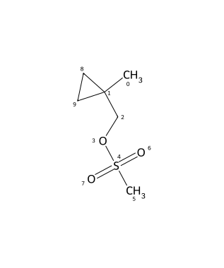 CC1(COS(C)(=O)=O)CC1